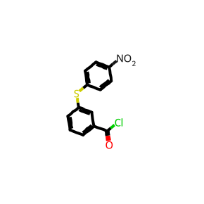 O=C(Cl)c1cccc(Sc2ccc([N+](=O)[O-])cc2)c1